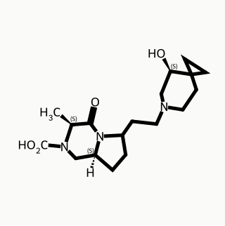 C[C@H]1C(=O)N2C(CCN3CCC4(CC4)[C@H](O)C3)CC[C@H]2CN1C(=O)O